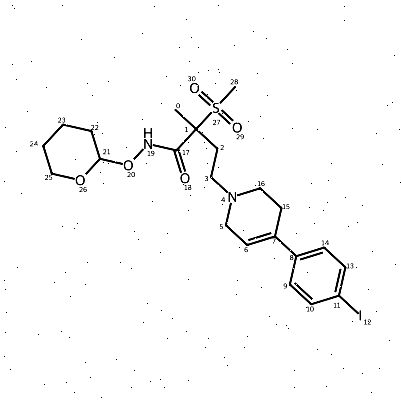 CC(CCN1CC=C(c2ccc(I)cc2)CC1)(C(=O)NOC1CCCCO1)S(C)(=O)=O